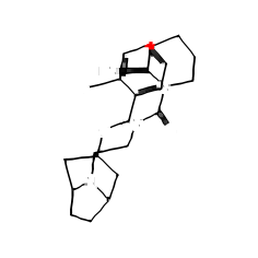 Cc1ccccc1COC1CC2CCC(C1)N2CCNC(=O)N1CCCCC1=N